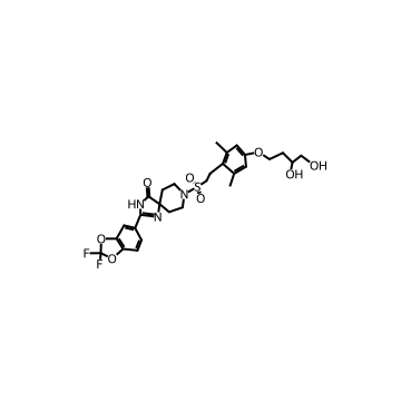 Cc1cc(OCCC(O)CO)cc(C)c1CCS(=O)(=O)N1CCC2(CC1)N=C(c1ccc3c(c1)OC(F)(F)O3)NC2=O